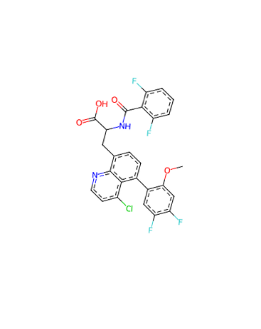 COc1cc(F)c(F)cc1-c1ccc(CC(NC(=O)c2c(F)cccc2F)C(=O)O)c2nccc(Cl)c12